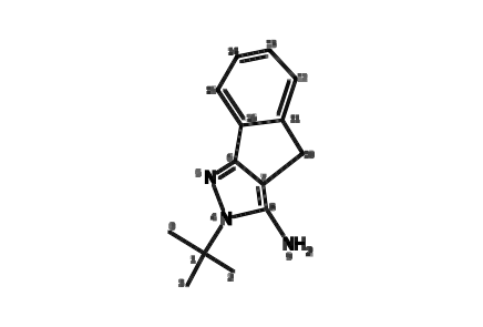 CC(C)(C)n1nc2c(c1N)Cc1ccccc1-2